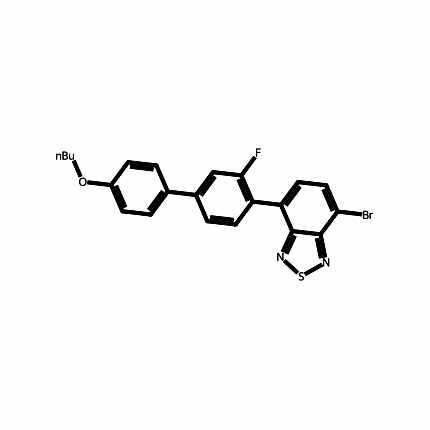 CCCCOc1ccc(-c2ccc(-c3ccc(Br)c4nsnc34)c(F)c2)cc1